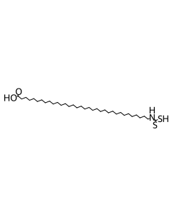 O=C(O)CCCCCCCCCCCCCCCCCCCCCCCCCCCCCCCCCNC(=S)S